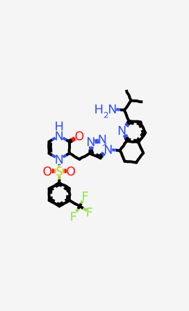 CC(C)C(N)c1ccc2c(n1)C(n1cc(CC3C(=O)NC=CN3S(=O)(=O)c3cccc(C(F)(F)F)c3)nn1)CCC2